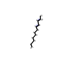 [CH2]CCCCCC/C=C/C=C/C